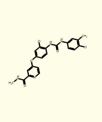 CNC(=O)c1cc(Oc2ccc(NC(=O)Nc3ccc(Cl)c(C)c3)c(Cl)c2)ccn1